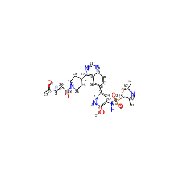 COc1ncc(-c2ccc3ncnc(C4CCN(C(=O)/C=C/C(C)=O)CC4)c3c2)cc1NS(=O)(=O)c1sc(C)nc1C